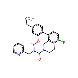 CCOc1cc(CC(=O)O)ccc1-c1ccc(F)c2c1CN(C(=O)NCc1ccccn1)CC2